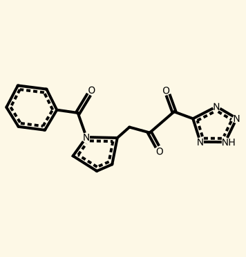 O=C(Cc1cccn1C(=O)c1ccccc1)C(=O)c1nn[nH]n1